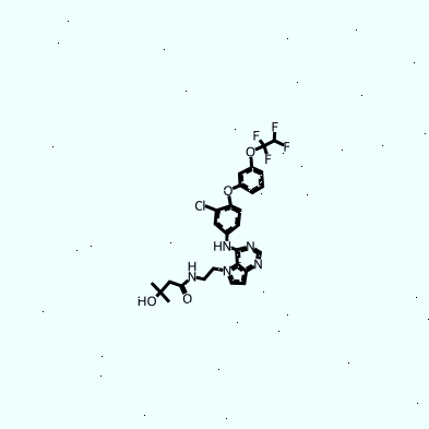 CC(C)(O)CC(=O)NCCn1ccc2ncnc(Nc3ccc(Oc4cccc(OC(F)(F)C(F)F)c4)c(Cl)c3)c21